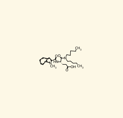 CCCCCN(CCCCC)C(=O)[C@H](CCC(=O)O)NC(=O)c1cc2ccccc2n1C